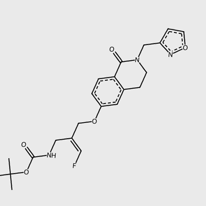 CC(C)(C)OC(=O)NCC(=CF)COc1ccc2c(c1)CCN(Cc1ccon1)C2=O